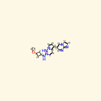 CCO[C@H]1C[C@@H](NN2C=Cc3c(-c4cnc5nccn5c4)ccn3N2)C1